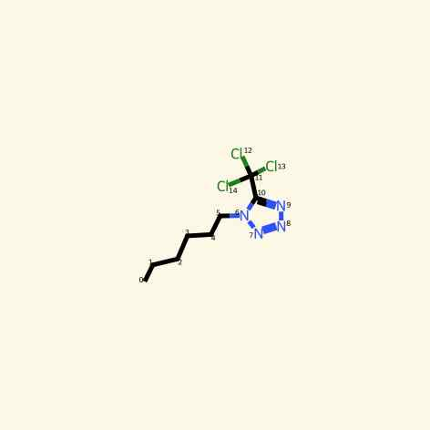 CCCCCCn1nnnc1C(Cl)(Cl)Cl